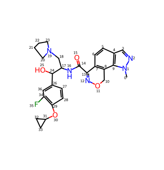 Cn1ncc2ccc3c(c21)CON=C3C(=O)NC(CN1CCCC1)C(O)c1ccc(OC2CC2)c(F)c1